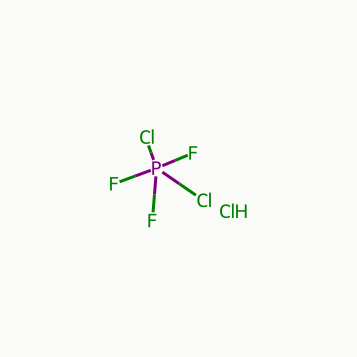 Cl.FP(F)(F)(Cl)Cl